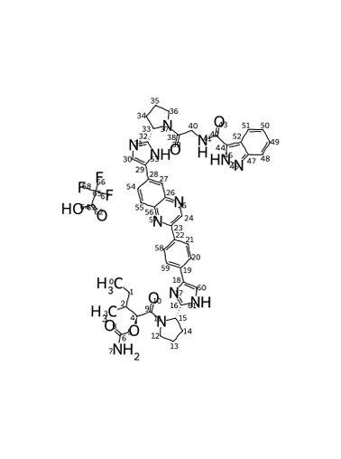 CCC(C)[C@H](OC(N)=O)C(=O)N1CCC[C@H]1c1nc(-c2ccc(-c3cnc4cc(-c5cnc([C@@H]6CCCN6C(=O)CNC(=O)c6[nH]nc7ccccc67)[nH]5)ccc4n3)cc2)c[nH]1.O=C(O)C(F)(F)F